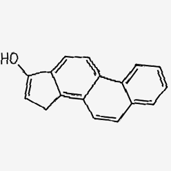 OC1=CCc2c1ccc1c2ccc2ccccc21